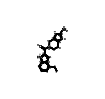 CCc1cccc2[nH]c(C(=O)N3CCc4nc(N)sc4C3)cc12